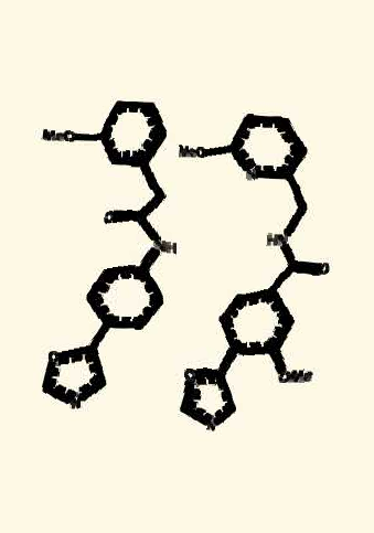 COc1cccc(CC(=O)Nc2ccc(-c3cnco3)cc2)c1.COc1cccc(CNC(=O)c2ccc(-c3cnco3)c(OC)c2)n1